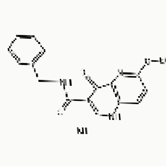 CCOc1ccc2[nH]cc(C(=O)NCc3ccccc3)c(=O)c2n1.[KH]